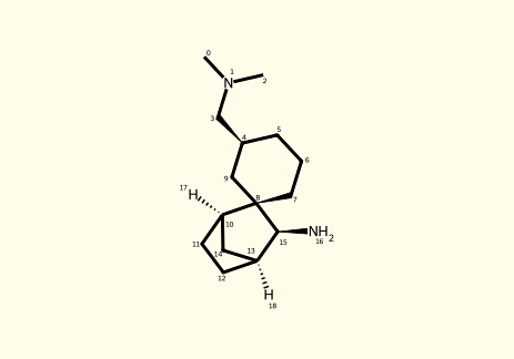 CN(C)C[C@H]1CCC[C@]2(C1)[C@@H]1CC[C@@H](C1)[C@@H]2N